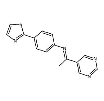 C/C(=N\c1ccc(-c2nccs2)cc1)c1cncnc1